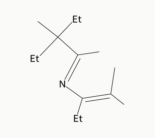 CCC(/N=C(\C)C(C)(CC)CC)=C(C)C